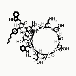 CCCCCC12CCC(C(=O)N[C@@H](Cc3c[nH]c4ccccc34)C(=O)N[C@H](CC(N)=O)C(=O)N[C@@H](CC(=O)O)C(=O)N[C@@H]3C(=O)NCC(=O)N[C@@H](CCCN)C(=O)N[C@@H](CC(=O)O)C(=O)N[C@H](C)C(=O)N[C@@H](CC(=O)O)C(=O)NCC(=O)N[C@H](CO)C(=O)N[C@@H]([C@H](C)CC(=O)O)C(=O)N[C@@H](CC(=O)c4ccccc4N)C(=O)O[C@@H]3C)(CC1)CC2